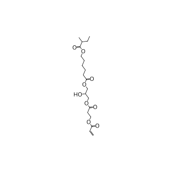 C=CC(=O)OCCC(=O)OCC(O)COC(=O)CCCCCOC(=O)C(C)CC